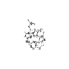 CN(C)CCn1ccc(Nc2ncc3c(n2)-c2c(nn(C)c2-c2sccc2Cl)CC3)n1